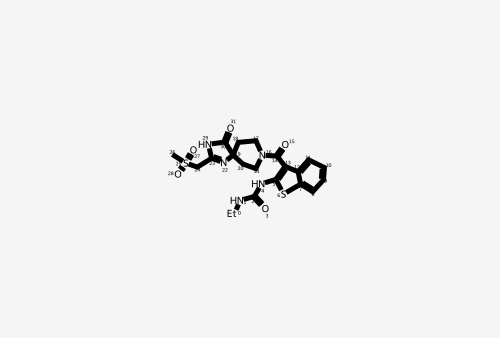 CCNC(=O)Nc1sc2ccccc2c1C(=O)N1CCC2(CC1)N=C(CS(C)(=O)=O)NC2=O